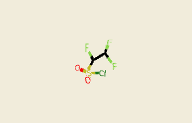 O=S(=O)(Cl)C(F)C(F)F